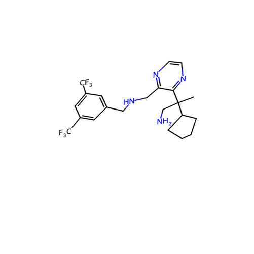 CC(CN)(c1nccnc1CNCc1cc(C(F)(F)F)cc(C(F)(F)F)c1)C1CCCC1